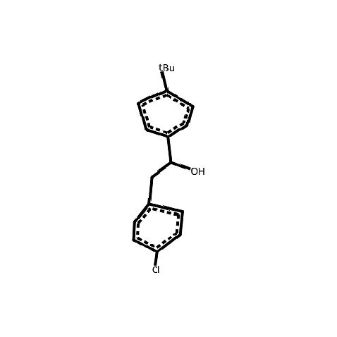 CC(C)(C)c1ccc(C(O)Cc2ccc(Cl)cc2)cc1